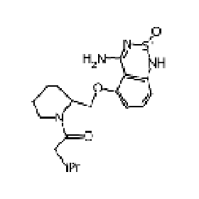 CC(C)CC(=O)N1CCCCC1COc1cccc2c1C(N)=N[S+]([O-])N2